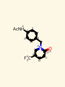 CC(=O)Nc1ccc(Cn2cc(C(F)(F)F)ccc2=O)cc1